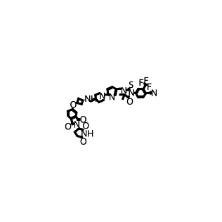 CC1(C)C(=O)N(c2ccc(C#N)c(C(F)(F)F)c2)C(=S)N1Cc1ccc(N2CCC(CN[C@H]3C[C@H](Oc4ccc5c(c4)C(=O)N(C4CCC(=O)NC4=O)C5=O)C3)CC2)nc1